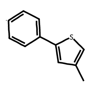 Cc1csc(-c2cc[c]cc2)c1